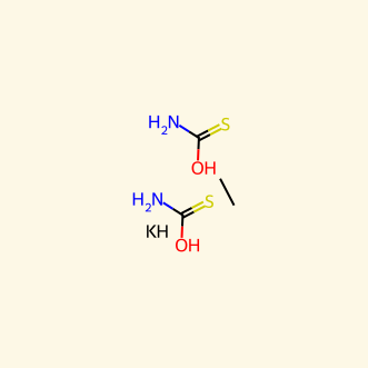 CC.NC(O)=S.NC(O)=S.[KH]